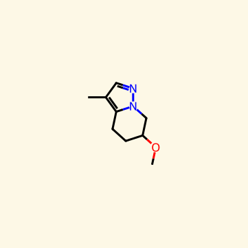 COC1CCc2c(C)cnn2C1